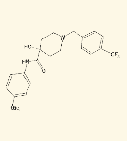 CC(C)(C)c1ccc(NC(=O)C2(O)CCN(Cc3ccc(C(F)(F)F)cc3)CC2)cc1